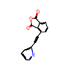 O=C1OC(=O)c2c(C#Cc3ccccn3)cccc21